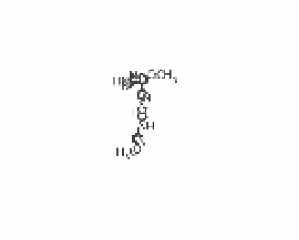 CCOc1cc(-c2ccc(N3CC4C[C@@H](NCc5ccc(OC)nc5)C[C@H]4C3)nc2)c2c3cn[nH]c3nn2c1